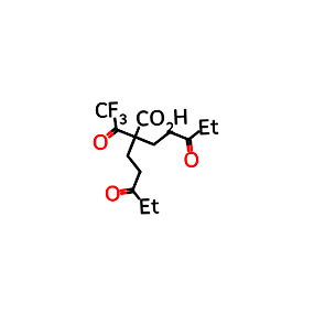 CCC(=O)CCC(CCC(=O)CC)(C(=O)O)C(=O)C(F)(F)F